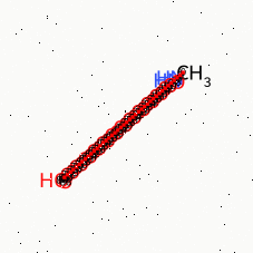 CCCCNC(=O)NCCOCCOCCOCCOCCOCCOCCOCCOCCOCCOCCOCCOCCOCCOCCOCCOCCOCCOCCOCCOCCOCCOCCOCCOCCC(=O)O